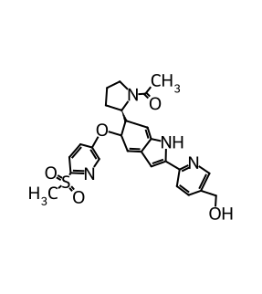 CC(=O)N1CCC[C@@H]1C1C=c2[nH]c(-c3ccc(CO)cn3)cc2=CC1Oc1ccc(S(C)(=O)=O)nc1